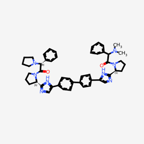 CN(C)C(C(=O)N1CCC[C@H]1c1ncc(-c2ccc(-c3ccc(-c4cnc([C@@H]5CCCN5C(=O)[C@@H](c5ccccc5)N5CCCC5)[nH]4)cc3)cc2)[nH]1)c1ccccc1